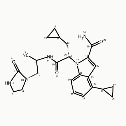 N#CC(C[C@@H]1CCNC1=O)NC(=O)[C@H](CC1CC1)n1c(C(N)=O)cc2c(C3CC3)cccc21